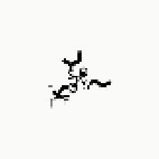 CCCSP(=O)(OCC(F)(F)F)SC(C)CC